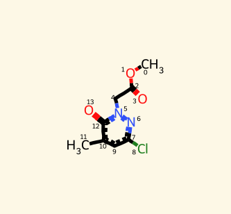 COC(=O)Cn1nc(Cl)cc(C)c1=O